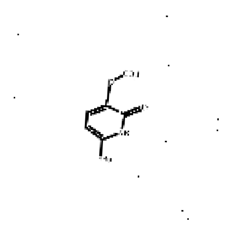 CCCCc1ccc(OC(=O)O)c(=O)[nH]1